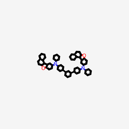 c1ccc(N(c2ccc(-c3cccc(-c4ccc(N(c5ccccc5)c5ccc6oc7ccc8ccccc8c7c6c5)cc4)c3)cc2)c2ccc3oc4ccc5ccccc5c4c3c2)cc1